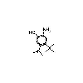 CN(C)c1cc(O)c(N)cc1C(C)(C)C